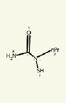 CCCN(S)C(N)=O